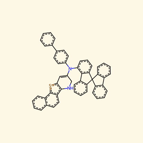 C1=C(N(c2ccc(-c3ccccc3)cc2)c2cccc3c2-c2ccccc2C32c3ccccc3-c3ccccc32)CNc2c1sc1c2ccc2ccccc21